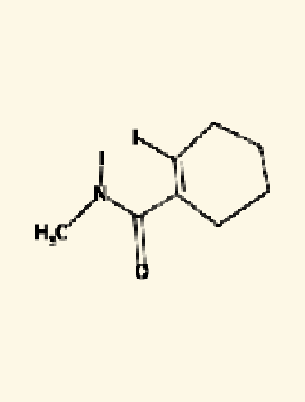 CN(I)C(=O)C1=C(I)CCCC1